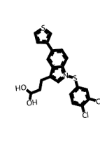 OC(O)CCc1cn(Sc2ccc(Cl)c(Cl)c2)c2ccc(-c3ccsc3)cc12